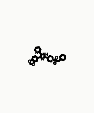 O=S(=O)(Cc1ccccc1)N1CCC(c2nc(-c3ccc4c(c3)OCO4)c(-c3ccccn3)[nH]2)CC1